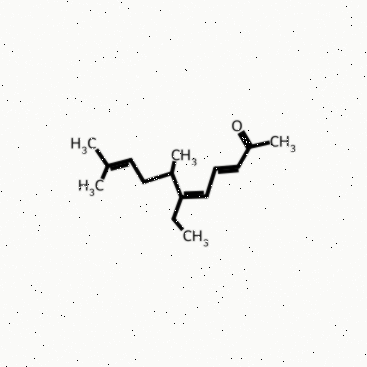 CCC(=CC=CC(C)=O)C(C)CC=C(C)C